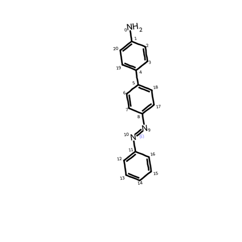 Nc1ccc(-c2ccc(/N=N/c3ccccc3)cc2)cc1